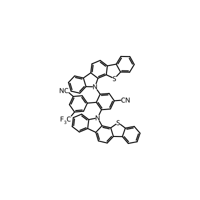 N#Cc1cc(-c2c(-n3c4ccccc4c4ccc5c6ccccc6sc5c43)cc(C#N)cc2-n2c3ccccc3c3ccc4c5ccccc5sc4c32)cc(C(F)(F)F)c1